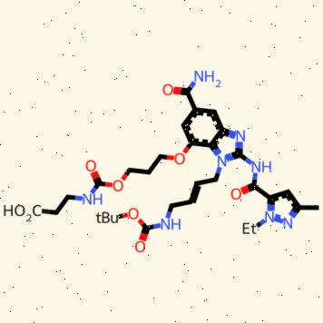 CCn1nc(C)cc1C(=O)Nc1nc2cc(C(N)=O)cc(OCCCOC(=O)NCCC(=O)O)c2n1CC=CCNC(=O)OC(C)(C)C